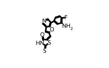 Nc1cc(-c2cncc3cc(C=C4SC(=S)NC4=O)oc23)ccc1F